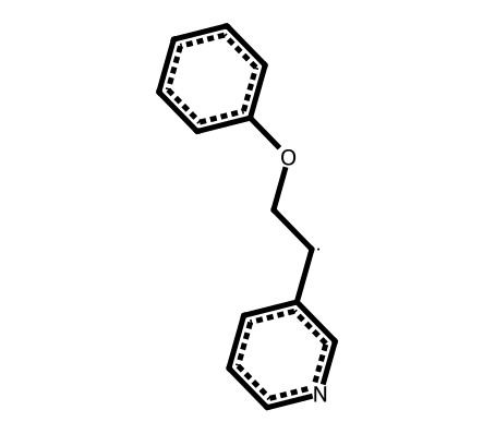 [CH](COc1ccccc1)c1cccnc1